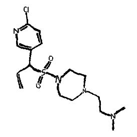 C=CC(c1ccc(Cl)nc1)S(=O)(=O)N1CCN(CCN(C)C)CC1